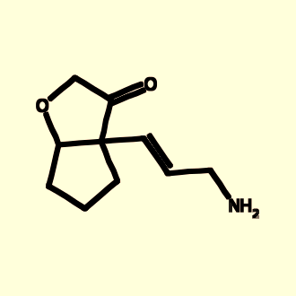 NCC=CC12CCCC1OCC2=O